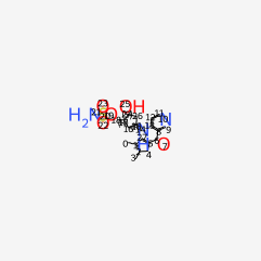 CC1=C(C)CC(C(=O)c2cnccc2N[C@@H]2C[C@H](COS(N)(=O)=O)[C@@H](O)C2)=C1